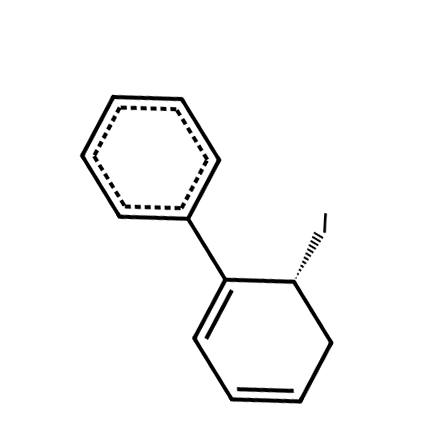 I[C@@H]1CC=CC=C1c1ccccc1